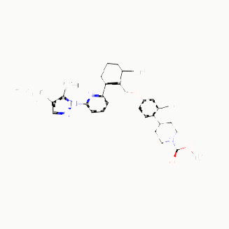 CCOC(=O)c1cnn(-c2cccc(C3=C(COc4ccc(C5CCN(C(=O)OC(C)(C)C)CC5)c(CC)c4)C(C)CCC3)n2)c1C